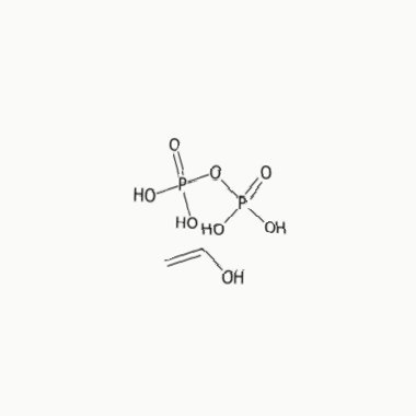 C=CO.O=P(O)(O)OP(=O)(O)O